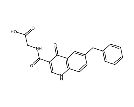 O=C(O)CNC(=O)c1c[nH]c2ccc(Cc3ccccc3)cc2c1=O